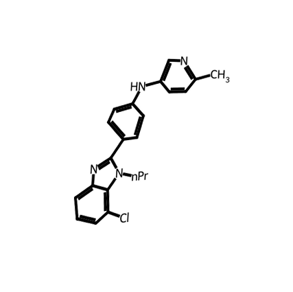 CCCn1c(-c2ccc(Nc3ccc(C)nc3)cc2)nc2cccc(Cl)c21